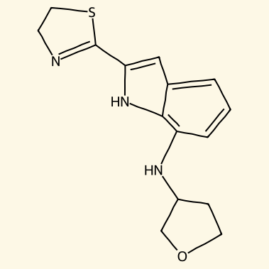 c1cc(NC2CCOC2)c2[nH]c(C3=NCCS3)cc2c1